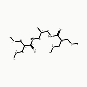 CSCC(CSC)C(=O)NCC(C)CNC(=O)C(CSC)CSC